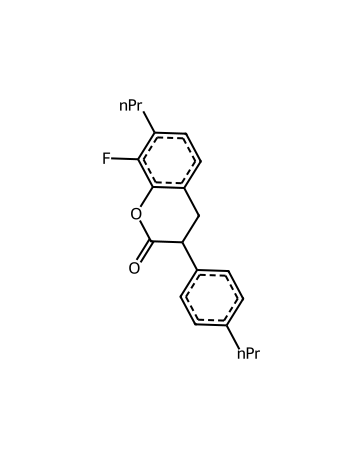 CCCc1ccc(C2Cc3ccc(CCC)c(F)c3OC2=O)cc1